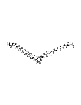 CCCCCCCCCCCCCCCCC[n+]1cccc(CCCCCCCCCCCCCCC)c1